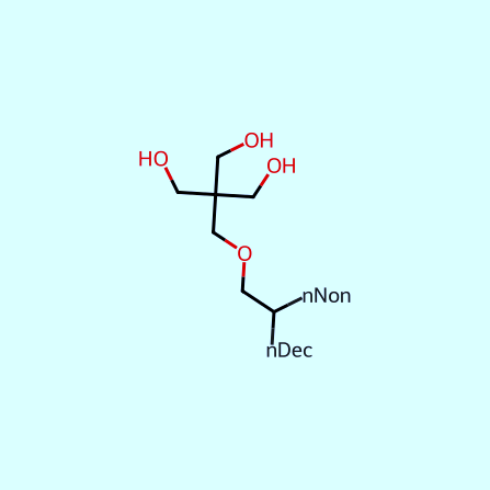 CCCCCCCCCCC(CCCCCCCCC)COCC(CO)(CO)CO